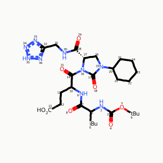 CCC(C)C(NC(=O)OC(C)(C)C)C(=O)NC(CCC(=O)O)C(=O)N1C(=O)N(C2CCCCC2)C[C@H]1C(=O)NCc1nn[nH]n1